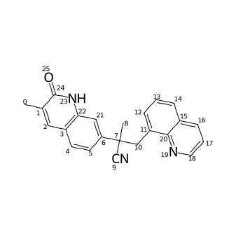 Cc1cc2ccc(C(C)(C#N)Cc3cccc4cccnc34)cc2[nH]c1=O